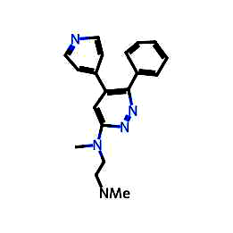 CNCCN(C)c1cc(-c2ccncc2)c(-c2ccccc2)nn1